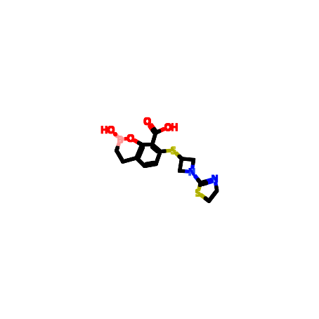 O=C(O)c1c(SC2CN(C3=NCCS3)C2)ccc2c1OB(O)CC2